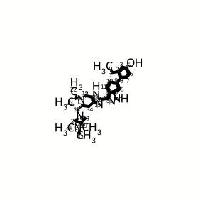 CCc1cc(O)ccc1-c1ccc2c(-c3nc4c([nH]3)CN(C(C)C)[C@H](CN3CC(C)(N(C)C)C3)C4)n[nH]c2c1